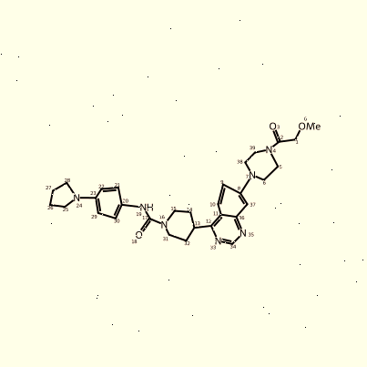 COCC(=O)N1CCN(c2ccc3c(C4CCN(C(=O)Nc5ccc(N6CCCC6)cc5)CC4)ncnc3c2)CC1